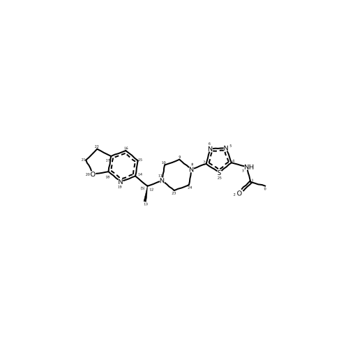 CC(=O)Nc1nnc(N2CCN([C@@H](C)c3ccc4c(n3)OCC4)CC2)s1